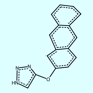 [c]1c(Oc2c[nH]nn2)ccc2cc3ccccc3cc12